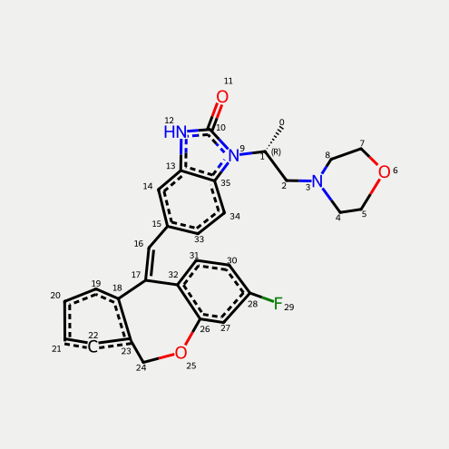 C[C@H](CN1CCOCC1)n1c(=O)[nH]c2cc(C=C3c4ccccc4COc4cc(F)ccc43)ccc21